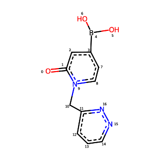 O=c1cc(B(O)O)ccn1Cc1cccnn1